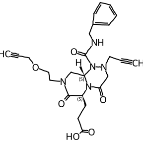 C#CCOCCN1C[C@H]2N(C(=O)CN(CC#C)N2C(=O)NCc2ccccc2)[C@@H](CCC(=O)O)C1=O